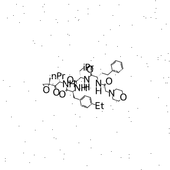 CCC[C@H](NC(=O)[C@H](Cc1ccc(CC)cc1)NC(=O)[C@H](CC(C)C)NC(=O)[C@H](CCc1ccccc1)NC(=O)CN1CCOCC1)C(=O)[C@@]1(C)CO1